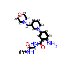 CC(C)NC(=O)CNC(=O)c1cc(N2CCCC(CN3CCOCC3)C2)ccc1N